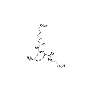 COCCCSCC(=O)Nc1cc(C(=O)NCC(=O)O)ccc1N